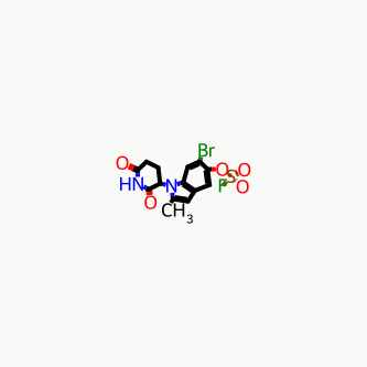 Cc1cc2cc(OS(=O)(=O)F)c(Br)cc2n1C1CCC(=O)NC1=O